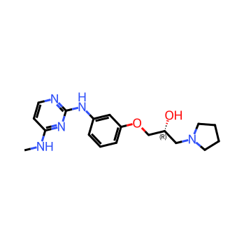 CNc1ccnc(Nc2cccc(OC[C@H](O)CN3CCCC3)c2)n1